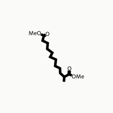 COC(=O)CCCCCCCCCC(C)C(=O)OC